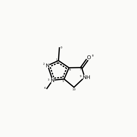 Cc1nn(C)c2c1C(=O)NC2